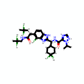 CC(C)n1ncnc1C(=O)N[C@H](c1nc2c(F)c([C@@H](CC(C)(F)F)C(=O)NCC(C)(F)F)ccc2[nH]1)C1CCC(F)(F)CC1